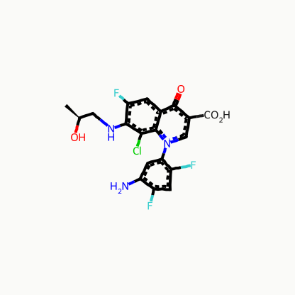 C[C@H](O)CNc1c(F)cc2c(=O)c(C(=O)O)cn(-c3cc(N)c(F)cc3F)c2c1Cl